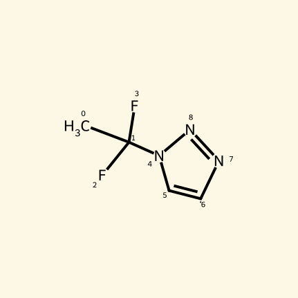 CC(F)(F)n1c[c]nn1